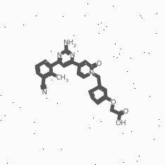 Cc1c(C#N)cccc1-c1cc(-c2ccn(Cc3cccc(OCC(=O)O)c3)c(=O)c2)nc(N)n1